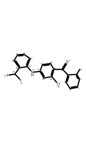 Cc1ccccc1C(=O)c1ccc(Nc2ccccc2C(F)F)cc1Cl